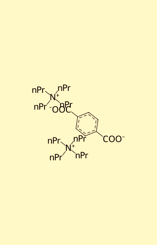 CCC[N+](CCC)(CCC)CCC.CCC[N+](CCC)(CCC)CCC.O=C([O-])c1ccc(C(=O)[O-])cc1